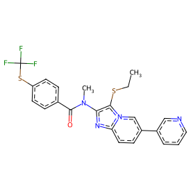 CCSc1c(N(C)C(=O)c2ccc(SC(F)(F)F)cc2)nc2ccc(-c3cccnc3)cn12